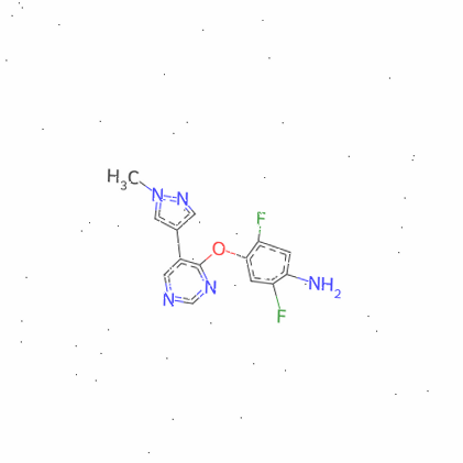 Cn1cc(-c2cncnc2Oc2cc(F)c(N)cc2F)cn1